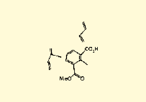 C=CC(=C)C.C=CC=C.COC(=O)c1cccc(C(=O)O)c1C